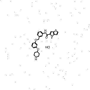 Cl.Cn1c(C(=O)Nc2cccc(COc3cccc(OC4CCNCC4)c3)c2)cc2sccc21